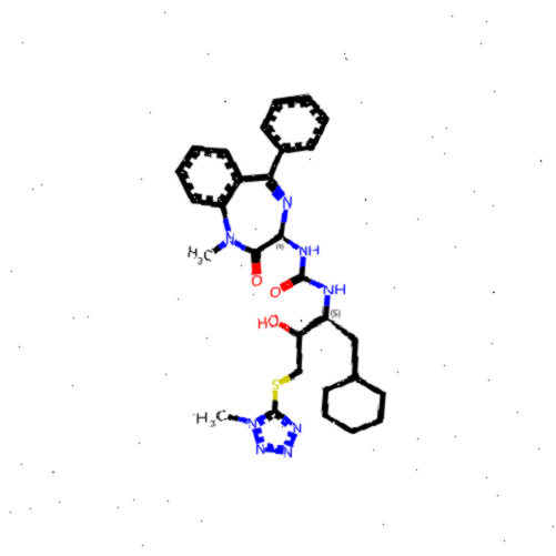 CN1C(=O)[C@H](NC(=O)N[C@@H](CC2CCCCC2)C(O)CSc2nnnn2C)N=C(c2ccccc2)c2ccccc21